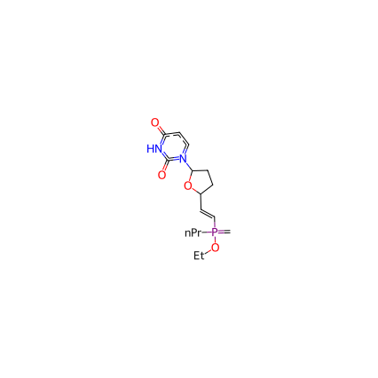 C=P(/C=C/C1CCC(n2ccc(=O)[nH]c2=O)O1)(CCC)OCC